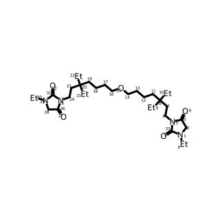 CCN1CC(=O)N(CCC(CC)(CC)CCCCOCCCCC(CC)(CC)CCN2C(=O)CN(CC)C2=O)C1=O